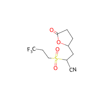 N#CC(CC1CCC(=O)O1)S(=O)(=O)CCC(F)(F)F